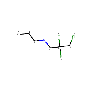 CC(C)CCNCC(F)(F)CCl